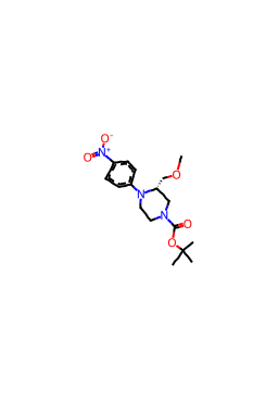 COC[C@@H]1CN(C(=O)OC(C)(C)C)CCN1c1ccc([N+](=O)[O-])cc1